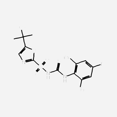 CC(C)c1cc(F)cc(C(C)C)c1NC(=O)NS(=O)(=O)c1ncc(C(C)(C)O)o1